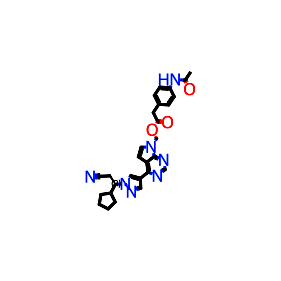 CC(=O)Nc1ccc(CC(=O)OCn2ccc3c(-c4cnn([C@H](CC#N)C5CCCC5)c4)ncnc32)cc1